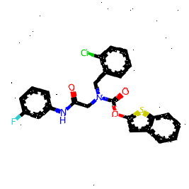 O=C(CN(Cc1ccccc1Cl)C(=O)Oc1cc2ccccc2s1)Nc1cccc(F)c1